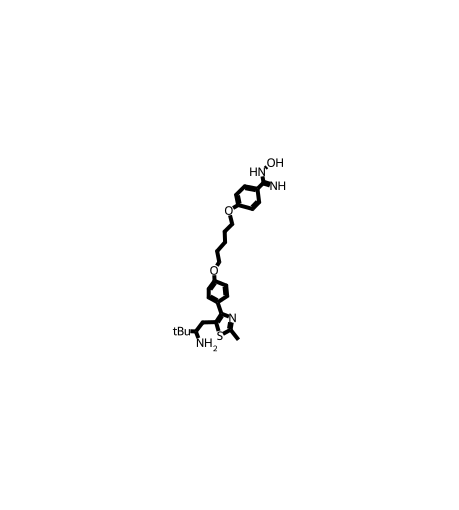 Cc1nc(-c2ccc(OCCCCCOc3ccc(C(=N)NO)cc3)cc2)c(CC(N)C(C)(C)C)s1